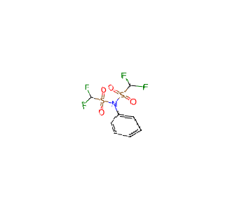 O=S(=O)(C(F)F)N(c1ccccc1)S(=O)(=O)C(F)F